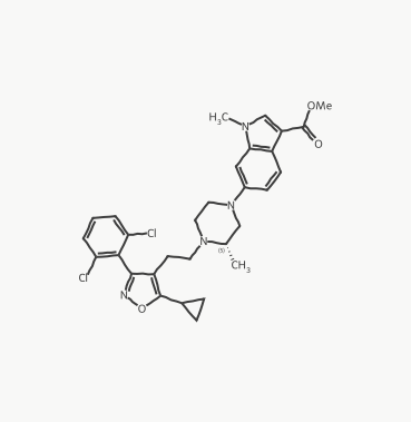 COC(=O)c1cn(C)c2cc(N3CCN(CCc4c(-c5c(Cl)cccc5Cl)noc4C4CC4)[C@@H](C)C3)ccc12